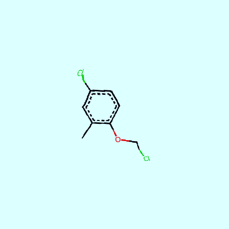 Cc1cc(Cl)ccc1OCCl